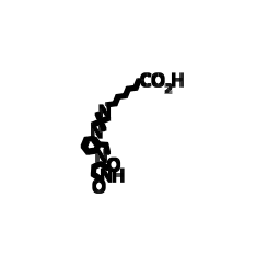 O=C(O)CCCCCCCN1CC2(C1)CN(c1cccc3c1CCN3C1CCC(=O)NC1=O)C2